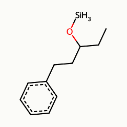 CCC(CCc1ccccc1)O[SiH3]